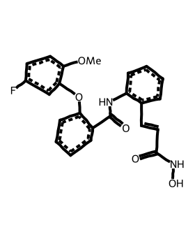 COc1ccc(F)cc1Oc1ccccc1C(=O)Nc1ccccc1C=CC(=O)NO